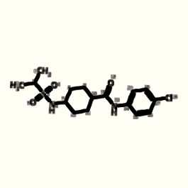 CC(C)S(=O)(=O)NC1CCC(C(=O)Nc2ccc(Cl)cc2)CC1